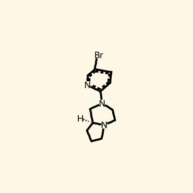 Brc1ccc(N2CCN3CCC[C@H]3C2)nc1